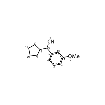 COc1cccc(C(C#N)C2CCCC2)c1